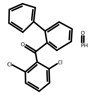 O=C(c1ccccc1-c1ccccc1)c1c(Cl)cccc1Cl.O=P